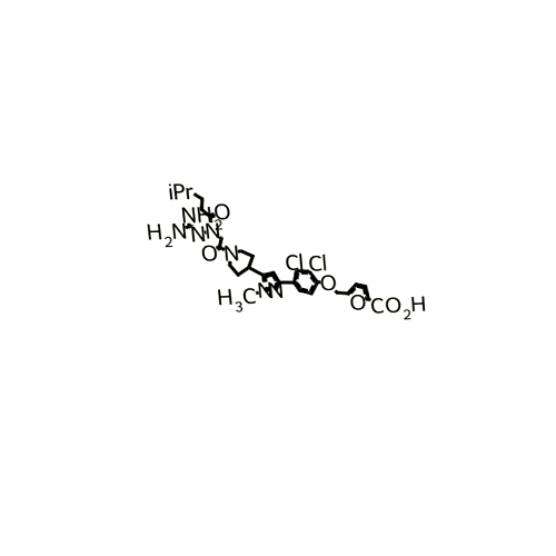 CC(C)CCC(=O)N(CC(=O)N1CCC(c2cc(-c3ccc(OCc4ccc(C(=O)O)o4)c(Cl)c3Cl)nn2C)CC1)N=C(N)N